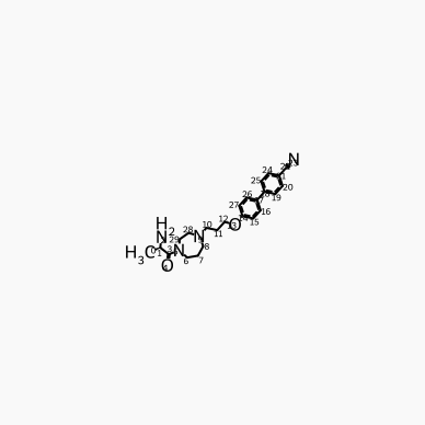 C[C@@H](N)C(=O)N1CCCN(CCCOc2ccc(-c3ccc(C#N)cc3)cc2)CC1